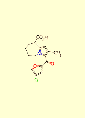 Cc1cc2n(c1C(=O)c1cc(Cl)co1)CCCCC2C(=O)O